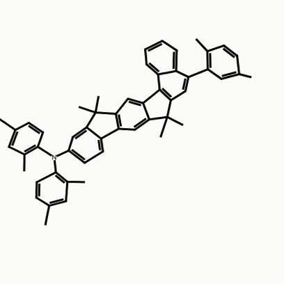 Cc1ccc(N(c2ccc3c(c2)C(C)(C)c2cc4c(cc2-3)C(C)(C)c2cc(-c3cc(C)ccc3C)c3ccccc3c2-4)c2ccc(C)cc2C)c(C)c1